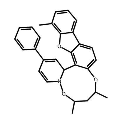 Cc1cccc2c1oc1c3c(ccc12)OC(C)CC(C)ON1C=CC(c2ccccc2)=CC31